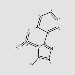 CC1=NN=C(c2ccccc2)S1=S(=O)=O